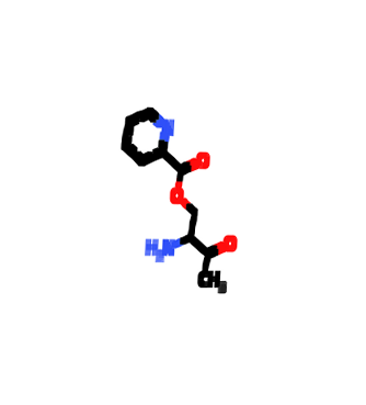 CC(=O)C(N)COC(=O)c1ccccn1